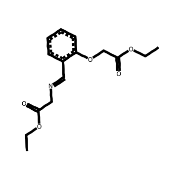 CCOC(=O)C/N=C/c1ccccc1OCC(=O)OCC